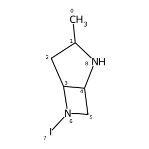 CC1CC2C(CN2I)N1